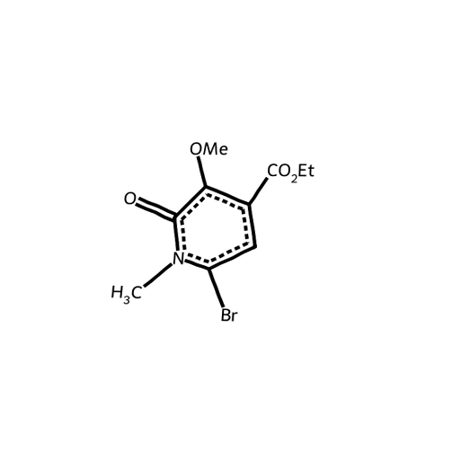 CCOC(=O)c1cc(Br)n(C)c(=O)c1OC